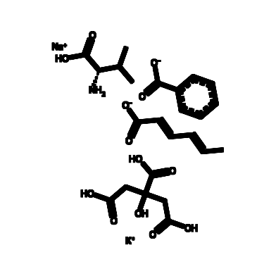 C/C=C/C=C/C(=O)[O-].CC(C)[C@H](N)C(=O)O.O=C(O)CC(O)(CC(=O)O)C(=O)O.O=C([O-])c1ccccc1.[K+].[Na+]